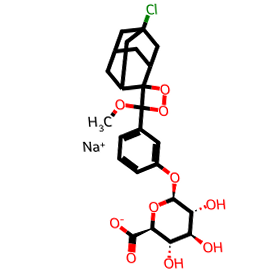 COC1(c2cccc(O[C@@H]3O[C@H](C(=O)[O-])[C@@H](O)[C@H](O)[C@H]3O)c2)OOC12C1CC3CC2CC(Cl)(C3)C1.[Na+]